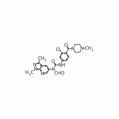 Cc1nn(C)c2ncc(N(C=O)C(=O)Nc3ccc(C(=O)N4CCN(C)CC4)c(Cl)c3)cc12